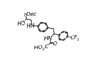 CCCCCCCCCCC(O)CNc1ccc(CC(NC(=O)C(=O)O)c2ccc(C(F)(F)F)cc2)cc1